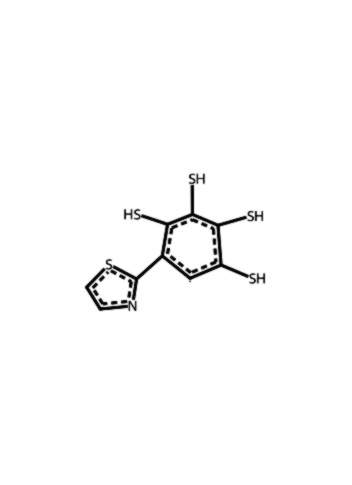 Sc1[c]c(-c2nccs2)c(S)c(S)c1S